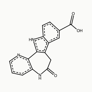 O=C1Cc2c([nH]c3ccc(C(=O)O)cc23)-c2ncccc2N1